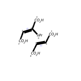 CCC/C(=C\C(=O)O)C(=O)O.O=C(O)/C=C/C(=O)O